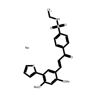 COc1cc(OC)c(-c2cccs2)cc1C=CC(=O)c1ccc(S(=O)(=O)NCC(F)(F)F)cc1.[Na]